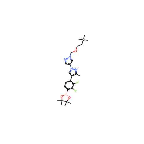 Cc1nn(-c2cnn(COCC[Si](C)(C)C)c2)cc1-c1ccc(B2OC(C)(C)C(C)(C)O2)c(F)c1F